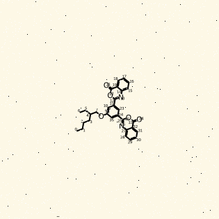 CCCCC(CC)COc1cc(-c2nc3ccccc3c(=O)o2)cc(-c2nc3ccccc3c(=O)o2)c1